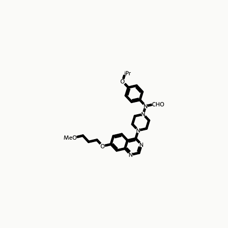 COCCCOc1ccc2c(N3CCN(N(C=O)c4ccc(OC(C)C)cc4)CC3)ncnc2c1